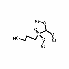 CCOC(OCC)P(=O)(CCCC#N)OCC